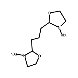 CCCCN1CCOC1CCCC1OCCN1CCCC